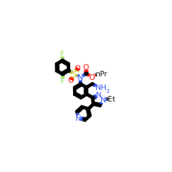 CCCOC(=O)N(c1cccc(-c2nn(CC)cc2-c2ccncc2)c1CN)S(=O)(=O)c1cc(F)ccc1F